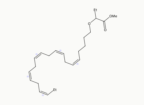 CC/C=C\C/C=C\C/C=C\C/C=C\C/C=C\CCCCOC(CC)C(=O)OC